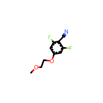 COCCOc1cc(F)c(C#N)c(F)c1